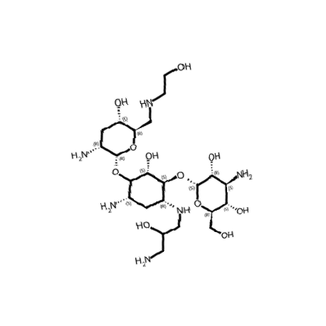 NCC(O)CN[C@@H]1C[C@H](N)C(O[C@H]2O[C@H](CNCCO)[C@@H](O)C[C@H]2N)[C@H](O)[C@H]1O[C@H]1O[C@H](CO)[C@@H](O)[C@H](N)[C@H]1O